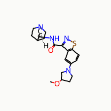 COC1CCN(c2ccc3snc(C(=O)N[C@@H]4CN5CCC4CC5)c3c2)C1